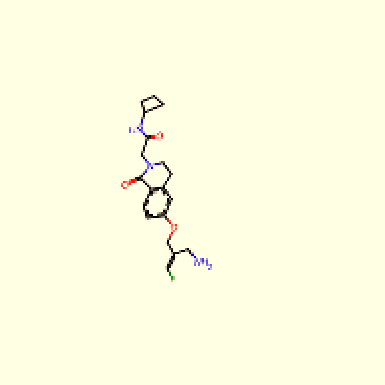 NC/C(=C\F)COc1ccc2c(c1)CCN(CC(=O)NC1CCC1)C2=O